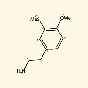 COc1ccc(CCN)cc1SC